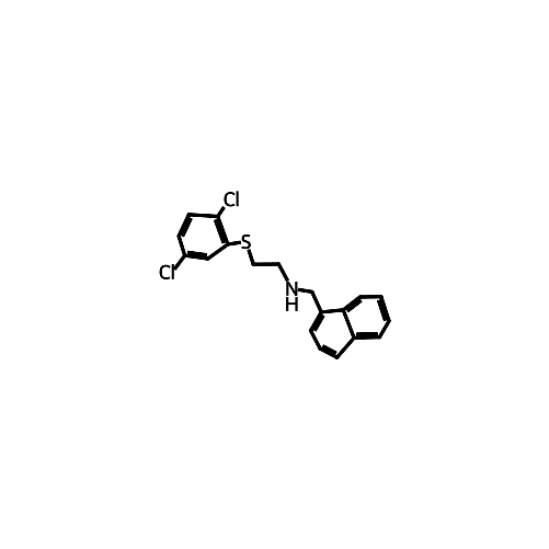 Clc1ccc(Cl)c(SCCNCc2cccc3ccccc23)c1